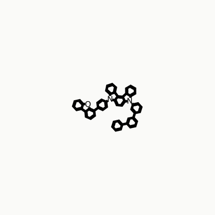 c1ccc(-c2cccc(-c3cccc(-n4c5ccccc5c5c6c7ccccc7n(-c7ccc(-c8cccc9c8oc8ccccc89)cc7)c6ccc54)c3)c2)cc1